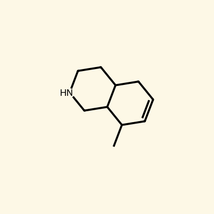 CC1C=CCC2CCNCC12